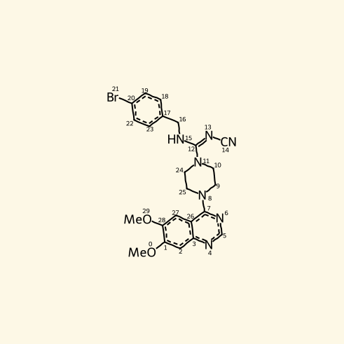 COc1cc2ncnc(N3CCN(/C(=N\C#N)NCc4ccc(Br)cc4)CC3)c2cc1OC